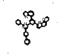 c1ccc(-c2ccc(-c3cc(-c4cc(-c5ccc6ccc7cccnc7c6n5)cc(-c5cccc6cccnc56)c4)nc(-c4ccccc4)n3)cc2)cc1